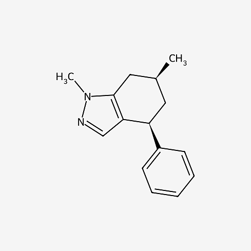 C[C@@H]1Cc2c(cnn2C)[C@H](c2ccccc2)C1